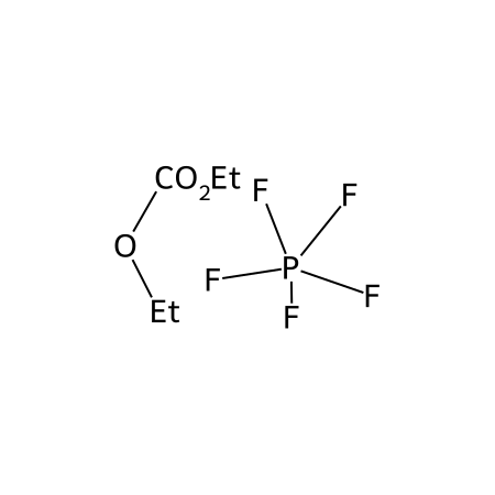 CCOC(=O)OCC.FP(F)(F)(F)F